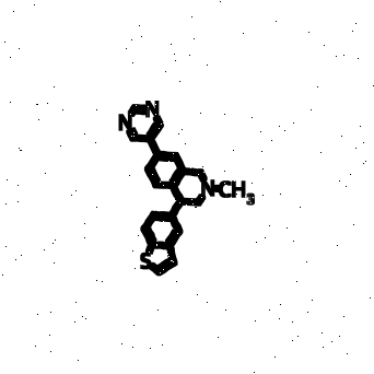 CN1Cc2cc(-c3cncnc3)ccc2C(c2ccc3sccc3c2)C1